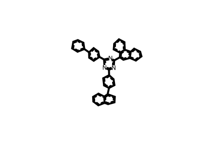 c1ccc(-c2ccc(-c3nc(-c4ccc(-c5cccc6ccccc56)cc4)nc(-c4cc5ccccc5c5ccccc45)n3)cc2)cc1